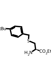 CCOC(=O)[C@@H](N)CSCc1ccc(C(C)(C)C)cc1